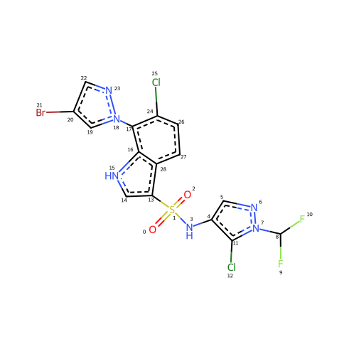 O=S(=O)(Nc1cnn(C(F)F)c1Cl)c1c[nH]c2c(-n3cc(Br)cn3)c(Cl)ccc12